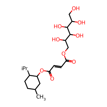 CC1CCC(C(C)C)C(OC(=O)C=CC(=O)OCC(O)C(O)C(O)C(O)CO)C1